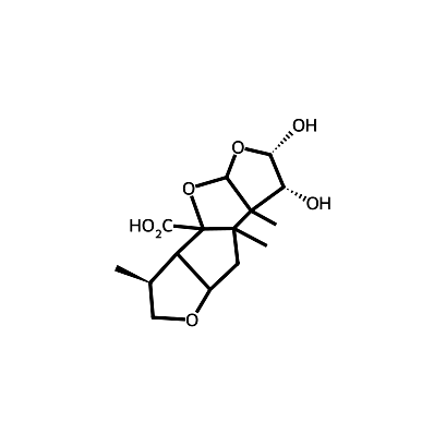 C[C@@H]1COC2CC3(C)C(C(=O)O)(OC4O[C@H](O)[C@H](O)C43C)C21